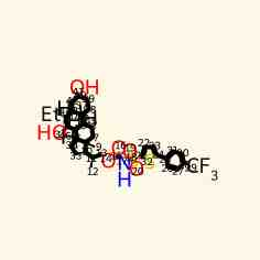 CC[C@H]1[C@@H](O)[C@@H]2[C@H](CC[C@]3(C)[C@@H]([C@H](C)COC(=O)NS(=O)(=O)c4ccc(-c5ccc(C(F)(F)F)cc5)s4)CC[C@@H]23)[C@@]2(C)CC[C@@H](O)C[C@@H]12